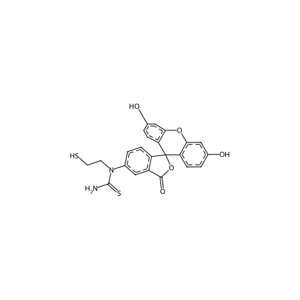 NC(=S)N(CCS)c1ccc2c(c1)C(=O)OC21c2ccc(O)cc2Oc2cc(O)ccc21